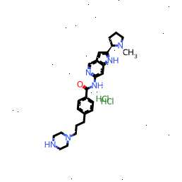 CN1CCC[C@@H]1c1cc2cnc(NC(=O)c3ccc(CCCN4CCNCC4)cc3)cc2[nH]1.Cl.Cl